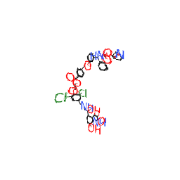 O=C(N[C@@H](c1ccccc1)c1cccc(OCc2ccc(C(=O)OCCOc3c(Cl)cc(CNCC(O)c4ccc(O)c5[nH]c(=O)ccc45)cc3Cl)cc2)c1)OC1CN2CCC1CC2